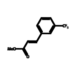 COC(=O)/C=C/c1cccc(C(F)(F)F)c1